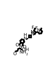 Cc1cccc(-c2cn([C@H]3C[C@H](CNc4ccc5c(c4)C(=O)N(C(CCC=O)C(N)O)C5=O)C3)nc2C(F)F)n1